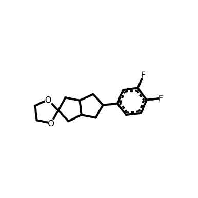 Fc1ccc(C2CC3CC4(CC3C2)OCCO4)cc1F